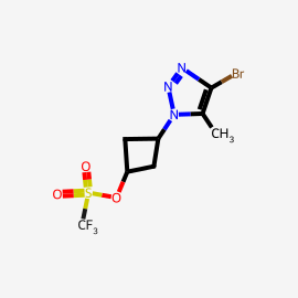 Cc1c(Br)nnn1C1CC(OS(=O)(=O)C(F)(F)F)C1